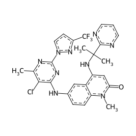 Cc1nc(-n2ccc(C(F)(F)F)n2)nc(Nc2ccc3c(c2)c(NC(C)(C)c2ncccn2)cc(=O)n3C)c1Cl